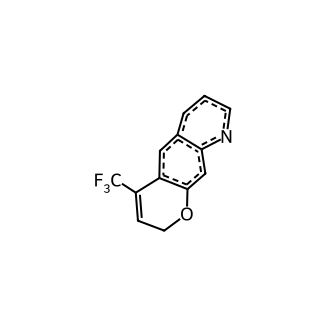 FC(F)(F)C1=CCOc2cc3ncccc3cc21